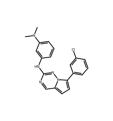 CN(C)c1cccc(Nc2ncc3ccc(-c4cccc(Cl)c4)n3n2)c1